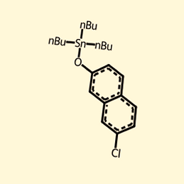 CCC[CH2][Sn]([CH2]CCC)([CH2]CCC)[O]c1ccc2ccc(Cl)cc2c1